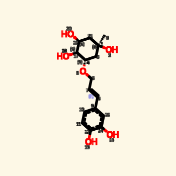 C[C@]1(O)C[C@H](OC/C=C/c2ccc(O)c(O)c2)[C@@H](O)[C@@H](O)C1